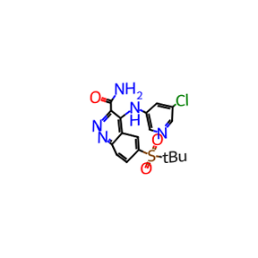 CC(C)(C)S(=O)(=O)c1ccc2nnc(C(N)=O)c(Nc3cncc(Cl)c3)c2c1